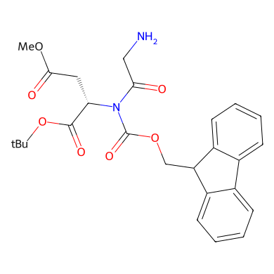 COC(=O)C[C@@H](C(=O)OC(C)(C)C)N(C(=O)CN)C(=O)OCC1c2ccccc2-c2ccccc21